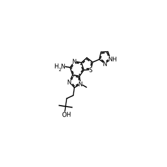 Cn1c(CCC(C)(C)O)nc2c(N)nc3cc(-c4cc[nH]n4)sc3c21